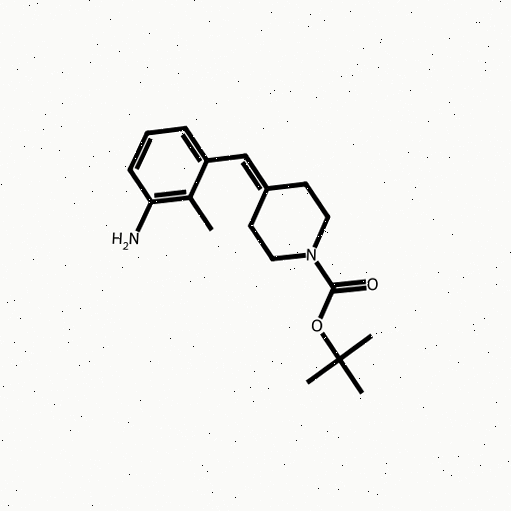 Cc1c(N)cccc1C=C1CCN(C(=O)OC(C)(C)C)CC1